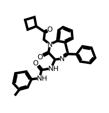 Cc1cccc(NC(=O)NC2N=C(c3ccccc3)c3ccccc3N(CC(=O)C3CCC3)C2=O)c1